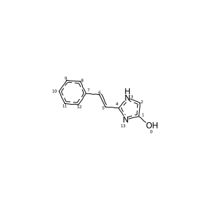 Oc1c[nH]c(C=Cc2ccccc2)n1